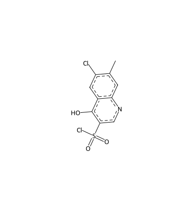 Cc1cc2ncc(S(=O)(=O)Cl)c(O)c2cc1Cl